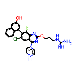 N=C(N)NCCCOc1nc(N2CC3CCCC2CN3)c2cc(Cl)c(-c3cc(O)cc4ccccc34)c(F)c2n1